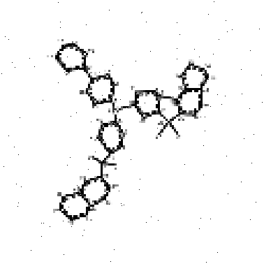 CC(C)(c1ccc(N(c2ccc(-c3ccccc3)cc2)c2ccc3c(c2)C(C)(C)c2ccc4ccccc4c2-3)cc1)c1ccc2ccccc2c1